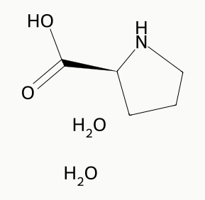 O.O.O=C(O)[C@@H]1CCCN1